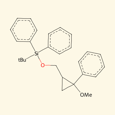 COC1(c2ccccc2)CC1CO[Si](c1ccccc1)(c1ccccc1)C(C)(C)C